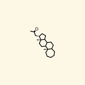 CC(=O)C[C@H]1CCC2C3CCC4CCCCC[C@]4(C)C3CC[C@@]21C